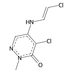 Cn1ncc(NC=CCl)c(Cl)c1=O